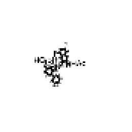 CC(=O)N[C@@H](Cc1cc(F)cc(F)c1)[C@H](O)CNCc1cc(CC(C)(C)C)ccc1-c1ccccc1.Cl